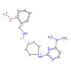 CN(C)c1ccnc(N[C@H]2CC[C@@H](CNCc3ccccc3OC(F)(F)F)CC2)n1